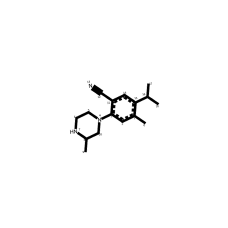 Cc1cc(N2CCNC(C)C2)c(C#N)cc1C(C)C